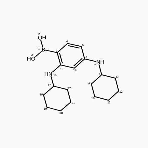 OB(O)c1ccc(NC2CCCCC2)cc1NC1CCCCC1